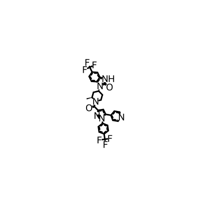 C[C@H]1C[C@@H](n2c(=O)[nH]c3cc(C(F)(F)F)ccc32)CCN1C(=O)c1cc(-c2ccncc2)n(-c2ccc(C(F)(F)F)cc2)n1